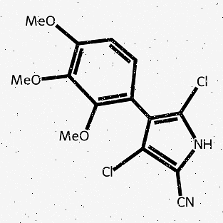 COc1ccc(-c2c(Cl)[nH]c(C#N)c2Cl)c(OC)c1OC